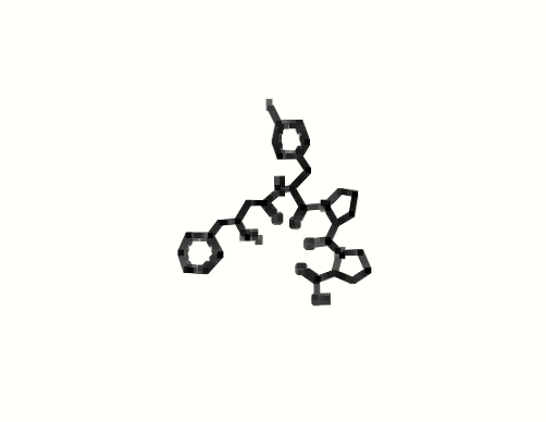 NC(CC(=O)NC(Cc1ccc(I)cc1)C(=O)N1CCCC1C(=O)N1CCCC1C(=O)O)Cc1ccccc1